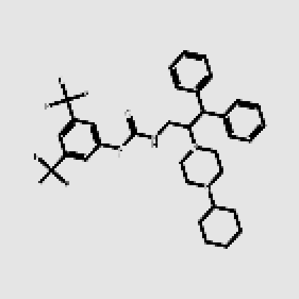 O=C(NCC(C(c1ccccc1)c1ccccc1)N1CCN(C2CCCCC2)CC1)Nc1cc(C(F)(F)F)cc(C(F)(F)F)c1